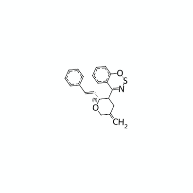 C=C1CO[C@H](C=Cc2ccccc2)C(C2=NSOc3ccccc32)C1